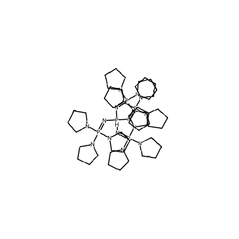 C1CCN(P(=N[PH](N=P(N2CCCC2)(N2CCCC2)N2CCCC2)(N=P(N2CCCC2)(N2CCCC2)N2CCCC2)N=P(N2CCCC2)(N2CCCC2)N2CCCC2)(N2CCCC2)N2CCCC2)C1